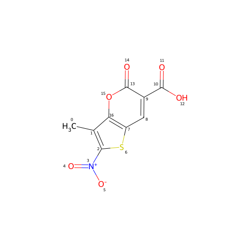 Cc1c([N+](=O)[O-])sc2cc(C(=O)O)c(=O)oc12